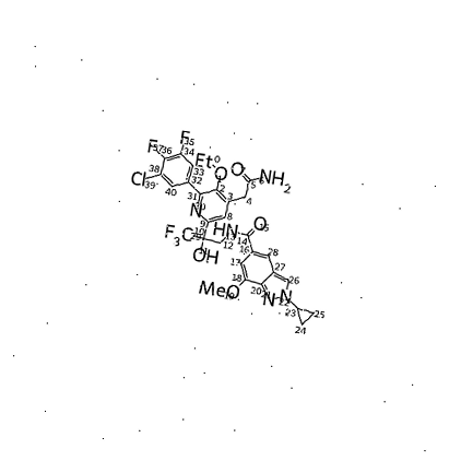 CCOc1c(CC(N)=O)cc(C(O)(CNC(=O)c2cc(OC)c3nn(C4CC4)cc3c2)C(F)(F)F)nc1-c1cc(F)c(F)c(Cl)c1